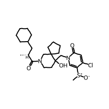 C[C@H](CC1CCCCC1)C(=O)N1CCC(O)(Cn2cc([S+](C)[O-])c(Cl)cc2=O)C2(CCCC2)C1